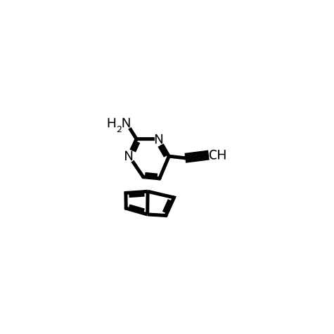 C#Cc1ccnc(N)n1.c1cc2ccc1-2